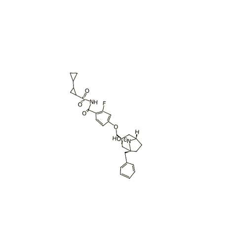 O=C(NS(=O)(=O)C1CC1C1CC1)c1ccc(OC[C@H]2C[C@@H]3CC[C@](Cc4ccccc4)(C2)N3C(=O)O)cc1F